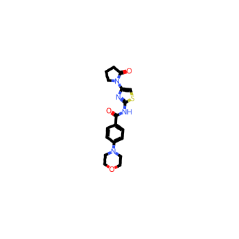 O=C(Nc1nc(N2CCCC2=O)cs1)c1ccc(N2CCOCC2)cc1